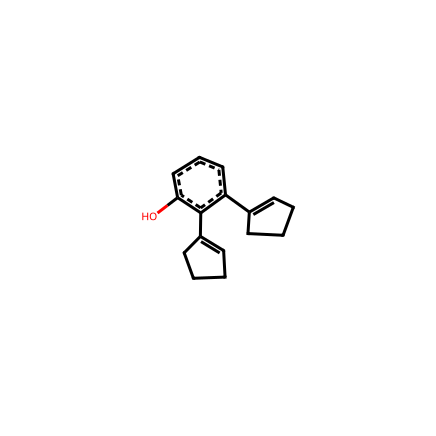 Oc1cccc(C2=CCCC2)c1C1=CCCC1